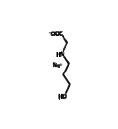 O=C([O-])CNCCCO.[Na+]